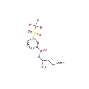 CSCCC(NC(=O)c1cccc(S(=O)(=O)C(Br)(Br)Br)c1)C(=O)O